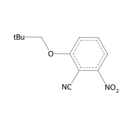 CC(C)(C)COc1cccc([N+](=O)[O-])c1C#N